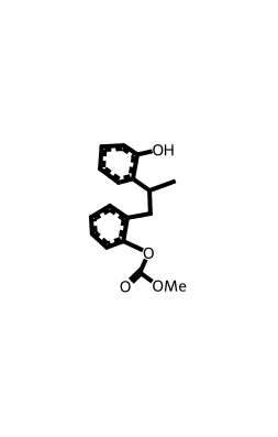 COC(=O)Oc1ccccc1CC(C)c1ccccc1O